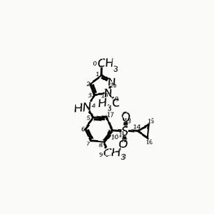 Cc1cc(Nc2ccc(C)c(S(=O)(=O)C3CC3)c2)n(C)n1